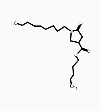 CCCCCCCCCN1CC(C(=O)OCCCCC)CC1=O